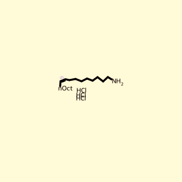 CCCCCCCC/C=C\CCCCCCCCN.Cl.Cl.Cl